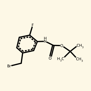 CC(C)(C)OC(=O)Nc1cc(CBr)ccc1F